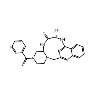 CC(C)[C@@H]1Nc2nc(nc3ccccc23)CN2CCN(C(=O)c3cccnc3)CC2NC1=O